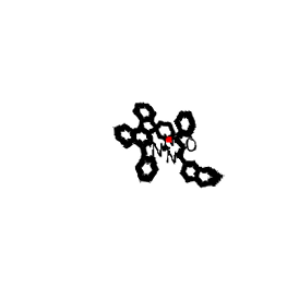 c1ccc2c(c1)-c1c(c3c(c4ccccc14)c1ccccc1n3-c1nc(-c3ccc4ccccc4c3)c3oc4ccccc4c3n1)C21CCCCC1